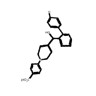 CCOC(=O)c1ccc(N2CCC(C(O)c3ccccc3-c3ccc(Cl)cc3)CC2)cc1